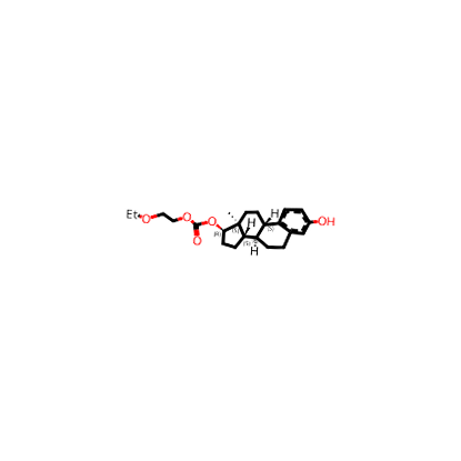 CCOCCOC(=O)O[C@@H]1CC[C@H]2[C@@H]3CCc4cc(O)ccc4[C@H]3CC[C@]12C